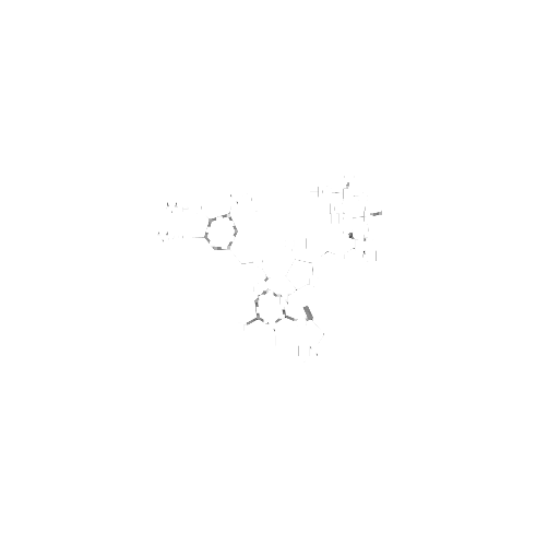 COc1cc(COC(=O)[C@@H]2[C@H](O)[C@@H](COP(=O)(O)OP(=O)(O)OP(=O)(O)O)O[C@@]2(C#CCN)n2ccc(=O)[nH]c2=O)cc([N+](=O)[O-])c1OC